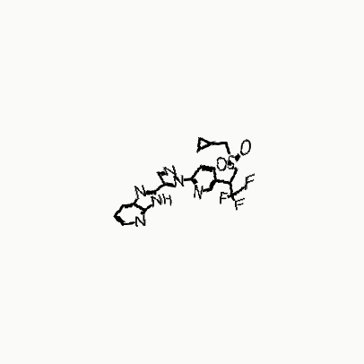 O=S(=O)(CC1CC1)CC(c1ccc(-n2cc(-c3nc4cccnc4[nH]3)cn2)nc1)C(F)(F)F